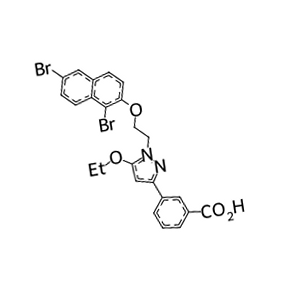 CCOc1cc(-c2cccc(C(=O)O)c2)nn1CCOc1ccc2cc(Br)ccc2c1Br